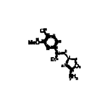 CCN(C[C@@H]1COC(N)=N1)c1ccc(Cl)c(OC)c1